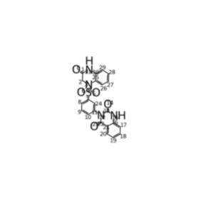 O=C1CN(S(=O)(=O)c2cccc(-n3c(=O)[nH]c4ccccc4c3=O)c2)c2ccccc2N1